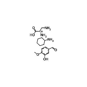 COc1ccc(C=O)cc1O.NC1CCCCC1.NC[C@H](N)C(=O)O